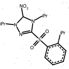 CC(C)c1ccccc1S(=O)(=O)C1=NN(C(C)C)C([N+](=O)[O-])N1C(C)C